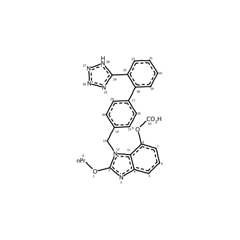 CCCOc1nc2cccc(OC(=O)O)c2n1Cc1ccc(-c2ccccc2-c2nnn[nH]2)cc1